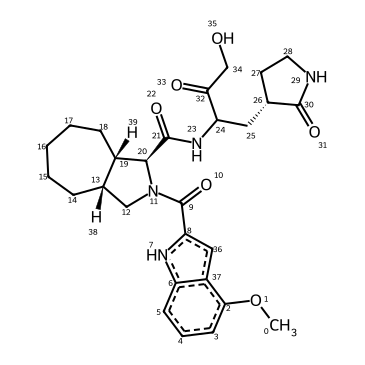 COc1cccc2[nH]c(C(=O)N3C[C@@H]4CCCCC[C@@H]4[C@H]3C(=O)NC(C[C@@H]3CCNC3=O)C(=O)CO)cc12